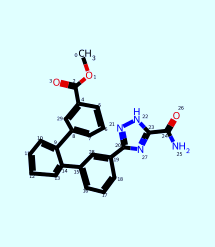 COC(=O)c1cccc(-c2ccccc2-c2cccc(-c3n[nH]c(C(N)=O)n3)c2)c1